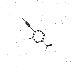 CCCC#Cc1ccc(C(=O)OC)cc1OC